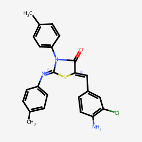 Cc1ccc(/N=C2\S/C(=C\c3ccc(N)c(Cl)c3)C(=O)N2c2ccc(C)cc2)cc1